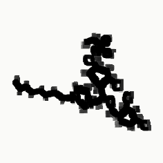 CCCCCCCCn1cc[n+](CC(OCc2ccc(Cl)cc2Cl)c2ccc(Cl)cc2Cl)c1.CCS(=O)(=O)[O-]